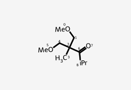 COCC(C)(COC)C(=O)C(C)C